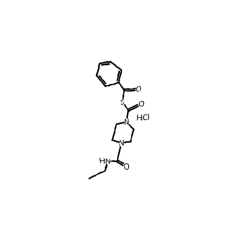 CCNC(=O)N1CCN(C(=O)SC(=O)c2ccccc2)CC1.Cl